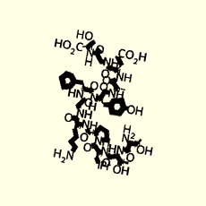 CC(C)C[C@H](NC(=O)[C@@H](NC(=O)[C@@H](N)[C@@H](C)O)[C@@H](C)O)C(=O)N1CCC[C@H]1C(=O)N[C@@H](CCCCN)C(=O)NCC(=O)N[C@@H](Cc1ccccc1)C(=O)N[C@@H](Cc1ccc(O)cc1)C(=O)N[C@@H](C)C(=O)N[C@@H](CCC(=O)O)C(=O)NCC(=O)N[C@@H](CO)C(=O)O